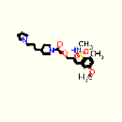 CNS(=O)(=O)c1c(C)cc(OC)cc1CCCOCC(=O)N1CCC(CCCN2CCCC2)CC1